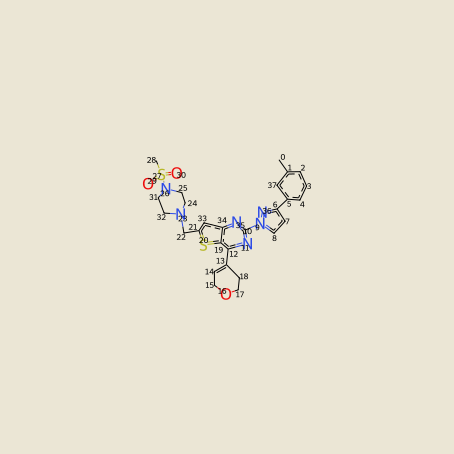 Cc1cccc(-c2ccn(-c3nc(C4=CCOCC4)c4sc(CN5CCN(S(C)(=O)=O)CC5)cc4n3)n2)c1